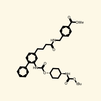 COC(=O)c1ccc(CNC(=O)CCCc2ccc(-c3ccccc3)c(NC(=O)O[C@H]3CC[C@H](NC(=O)OC(C)(C)C)CC3)c2)cc1